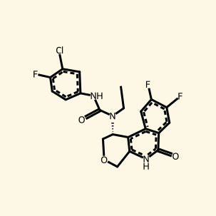 CCN(C(=O)Nc1ccc(F)c(Cl)c1)[C@H]1COCc2[nH]c(=O)c3cc(F)c(F)cc3c21